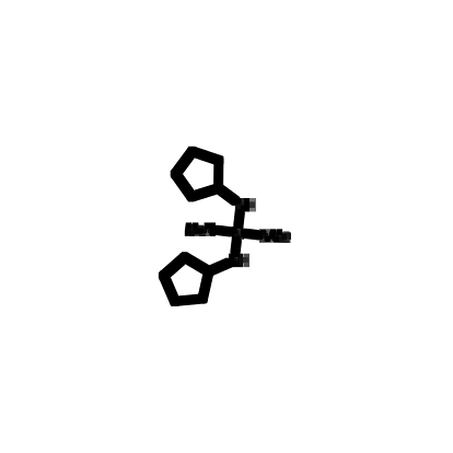 CN[Si](NC)(NC1CCCC1)NC1CCCC1